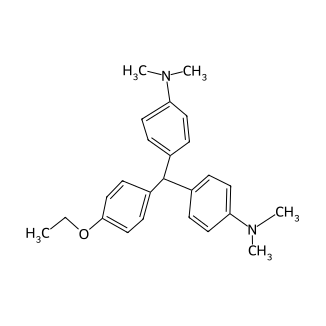 CCOc1ccc(C(c2ccc(N(C)C)cc2)c2ccc(N(C)C)cc2)cc1